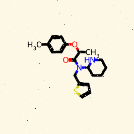 Cc1ccc(OC(C)C(=O)N(Cc2cccs2)C2CCCCN2)cc1